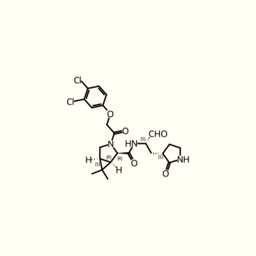 CC1(C)[C@@H]2[C@H](C(=O)N[C@H](C=O)C[C@@H]3CCNC3=O)N(C(=O)COc3ccc(Cl)c(Cl)c3)C[C@@H]21